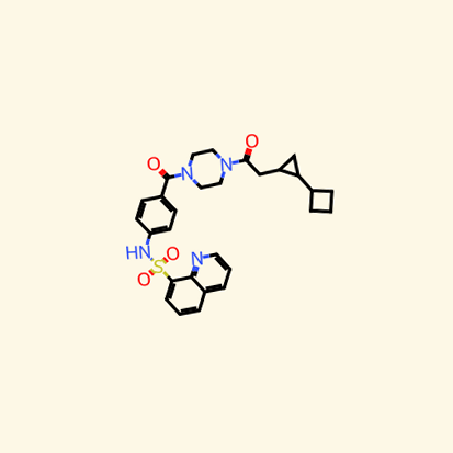 O=C(CC1CC1C1CCC1)N1CCN(C(=O)c2ccc(NS(=O)(=O)c3cccc4cccnc34)cc2)CC1